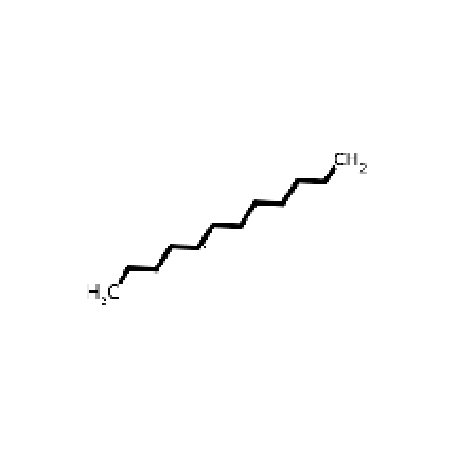 [CH2]CCCCCC[CH]CCCC